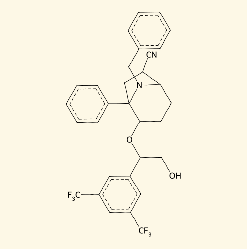 N#CC1CC2(c3ccccc3)C(OC(CO)c3cc(C(F)(F)F)cc(C(F)(F)F)c3)CCC1N2Cc1ccccc1